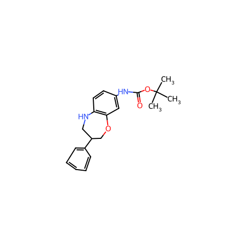 CC(C)(C)OC(=O)Nc1ccc2c(c1)OCC(c1ccccc1)CN2